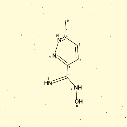 Cc1ccc(C(=N)NO)nn1